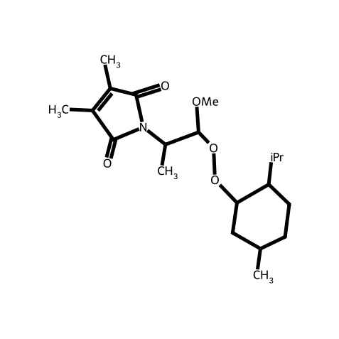 COC(OOC1CC(C)CCC1C(C)C)C(C)N1C(=O)C(C)=C(C)C1=O